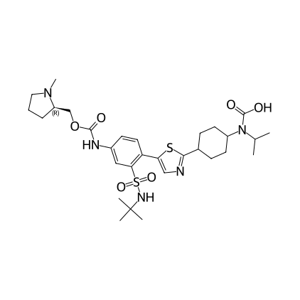 CC(C)N(C(=O)O)C1CCC(c2ncc(-c3ccc(NC(=O)OC[C@H]4CCCN4C)cc3S(=O)(=O)NC(C)(C)C)s2)CC1